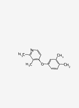 Cc1ccc(Oc2ccnc(C)c2C)cc1C